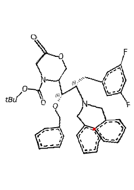 CC(C)(C)OC(=O)N1CC(=O)OCC1[C@@H](OCc1ccccc1)[C@H](Cc1cc(F)cc(F)c1)N(Cc1ccccc1)Cc1ccccc1